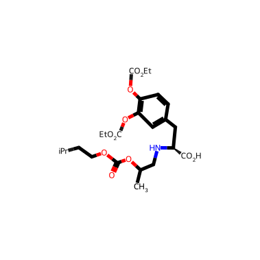 CCOC(=O)Oc1ccc(C[C@H](NCC(C)OC(=O)OCCC(C)C)C(=O)O)cc1OC(=O)OCC